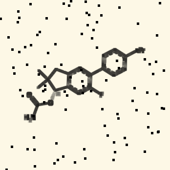 CCCc1ccc(-c2cc3c(cc2F)[C@H](OC(N)=O)C(C)(C)C3)cc1